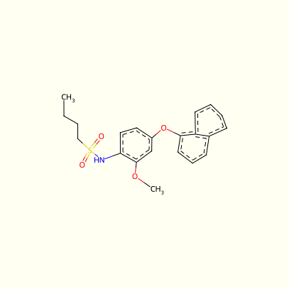 CCCCS(=O)(=O)Nc1ccc(Oc2cccc3ccccc23)cc1OC